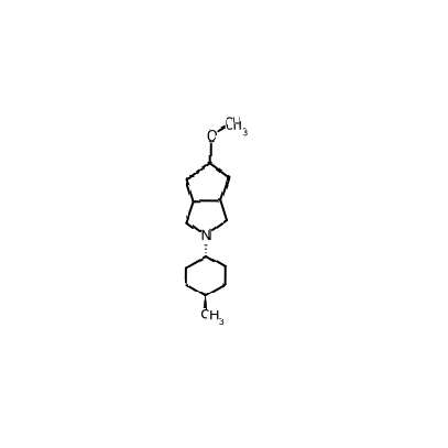 COC1CC2CN([C@H]3CC[C@H](C)CC3)CC2C1